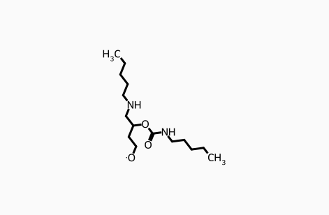 CCCCCNCC(CC[O])OC(=O)NCCCCC